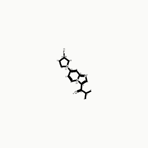 CC(C)C(=O)c1cnc2cc(N3CC[C@@H](F)C3)ccn12